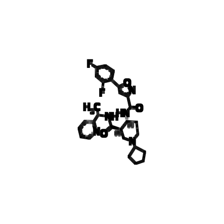 CC(NC(=O)[C@@H]1CN(C2CCCC2)CC[C@H]1NC(=O)c1cc(-c2ccc(F)cc2F)on1)c1ccccn1